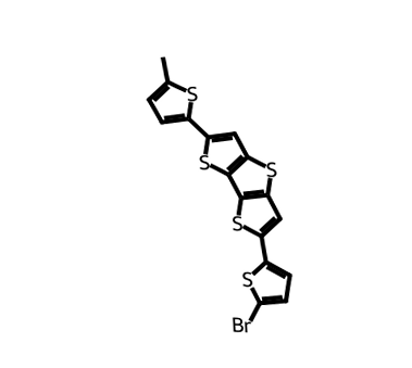 Cc1ccc(-c2cc3sc4cc(-c5ccc(Br)s5)sc4c3s2)s1